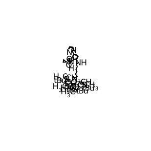 CC(C)(C)[Si](C)(C)OC[C@H]1C(O[Si](C)(C)C(C)(C)C)C(O[Si](C)(C)C(C)(C)C)C(O[Si](C)(C)C(C)(C)C)CN1CCCCCCNc1ccc(-c2ncccn2)cc1NS(=O)(=O)C1CC1